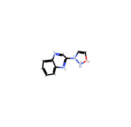 C1=CN(c2cnc3ccccc3n2)NO1